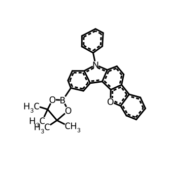 CC1(C)OB(c2ccc3c(c2)c2c4oc5ccccc5c4ccc2n3-c2ccccc2)OC1(C)C